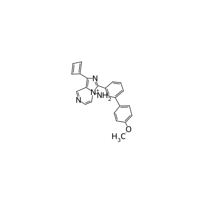 COc1ccc(-c2cccc(C3=NC(C4=CC=C4)=C4C=NC=C[N+]34N)c2)cc1